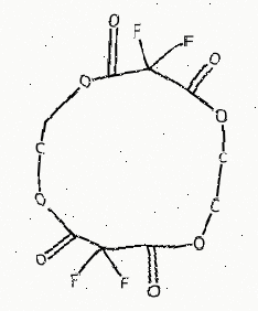 O=C1OCCOC(=O)C(F)(F)C(=O)OCCOC(=O)C1(F)F